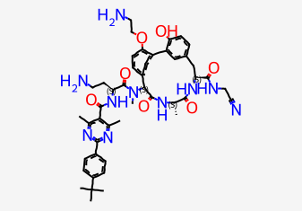 Cc1nc(-c2ccc(C(C)(C)C)cc2)nc(C)c1C(=O)N[C@@H](CCN)C(=O)N(C)[C@@H]1C(=O)N[C@@H](C)C(=O)N[C@H](C(=O)NCC#N)Cc2ccc(O)c(c2)-c2cc1ccc2OCCN